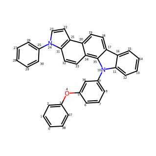 c1ccc(Oc2cccc(-n3c4ccccc4c4ccc5c6ccn(-c7ccccc7)c6ccc5c43)c2)cc1